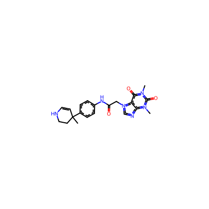 Cn1c(=O)c2c(ncn2CC(=O)Nc2ccc(C3(C)C=CNCC3)cc2)n(C)c1=O